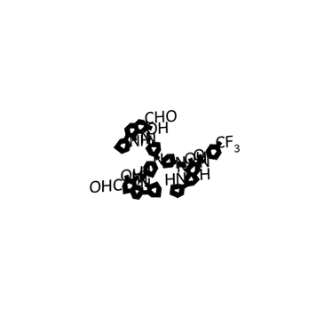 O=Cc1cc2ccc3c4ccccc4[nH]c3c2c(N=Nc2ccc(N(c3ccc(N=Nc4c(O)c(C=O)cc5ccc6c7ccccc7[nH]c6c45)cc3)c3ccc(N=Nc4c(O)c(C(=O)Nc5ccc(C(F)(F)F)cc5)cc5ccc6c7ccccc7[nH]c6c45)cc3)cc2)c1O